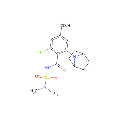 CN(C)S(=O)(=O)NC(=O)c1c(F)cc(C(=O)O)cc1N1C2CCC1CC2